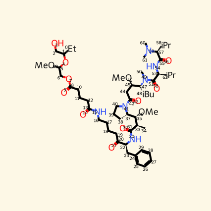 CCC(CO)OC(COC(=O)CCCC(=O)NCCCCC(=O)[C@H](Cc1ccccc1)NC(=O)[C@H](C)[C@@H](OC)[C@@H]1CCCN1C(=O)C[C@@H](OC)[C@H]([C@@H](C)CC)N(C)C(=O)[C@@H](NC(=O)[C@H](C(C)C)N(C)C)C(C)C)OC